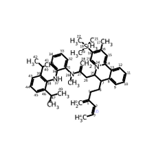 C=C(/C=C\C)CCC1c2ccccc2-c2cc(C)c([Si](C)(C)C)c[n+]2C1CC(=C)N(C)c1ccccc1Nc1c(C(C)C)cccc1C(C)C